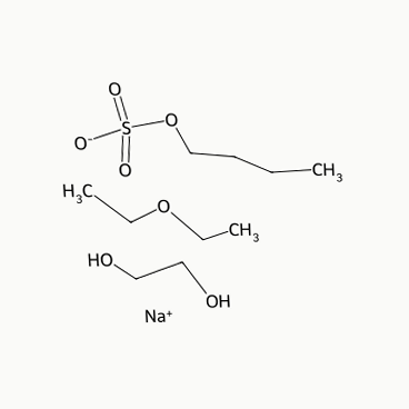 CCCCOS(=O)(=O)[O-].CCOCC.OCCO.[Na+]